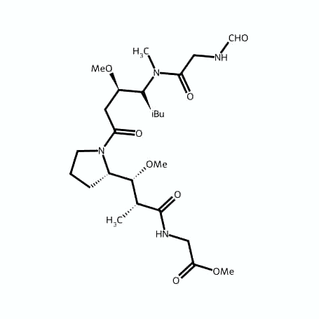 CC[C@H](C)C([C@@H](CC(=O)N1CCC[C@H]1[C@H](OC)[C@@H](C)C(=O)NCC(=O)OC)OC)N(C)C(=O)CNC=O